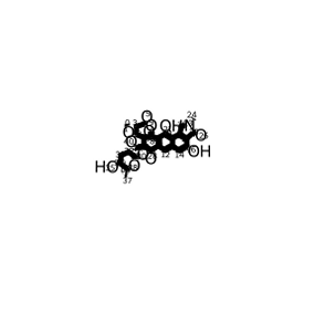 CO[C@]12CC(=O)O[C@]13C(=O)c1c(cc4cc(O)c5c(c4c1O)CN(C)C5=O)C(=O)[C@]3(O[C@H]1CC[C@H](O)[C@H](C)O1)CO2